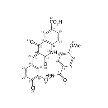 COc1ccc(C(N)=O)cn1.O=C1Nc2ccc(C(=O)O)cc2C(=O)/C1=C/c1ccc(Cl)c(Cl)c1